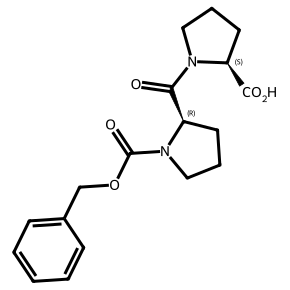 O=C(O)[C@@H]1CCCN1C(=O)[C@H]1CCCN1C(=O)OCc1ccccc1